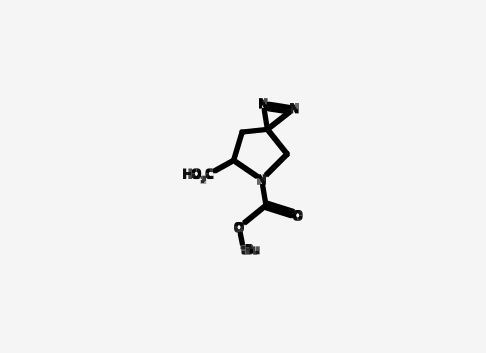 CC(C)(C)OC(=O)N1CC2(CC1C(=O)O)N=N2